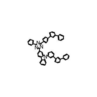 c1ccc(-c2cccc(-c3ccc(-c4nc(-c5ccccc5)nc(-c5ccc6c7ccccc7n(-c7cccc(-c8cccc(-c9ccccc9)c8)c7)c6c5)n4)cc3)c2)cc1